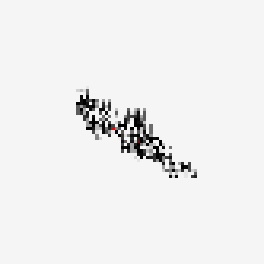 COc1cc(CN2CCN(C3CC4(CCN(c5ccc(C(=O)NS(=O)(=O)c6ccc(NC[C@H]7CC[C@](C)(O)CC7)c([N+](=O)[O-])c6)c(N6c7cc8cc[nH]c8nc7O[C@H]7COCC[C@@H]76)c5)CC4)C3)[C@H](c3sccc3C(C)C)C2)cnc1N1CCOCC1